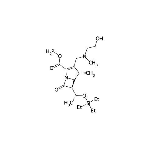 CC[Si](CC)(CC)O[C@H](C)[C@H]1C(=O)N2C(C(=O)OP)=C(CN(C)CCO)[C@H](C)C12